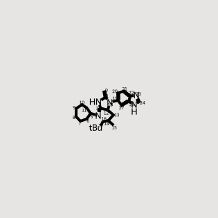 C=C1N/C(=N\C2CCCCCC2)C(CC(C)CC(C)(C)C)N1c1ccc2nc[nH]c2c1